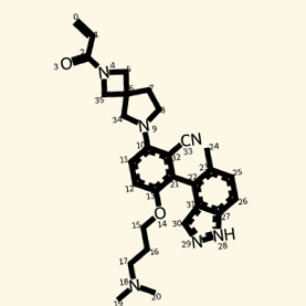 C=CC(=O)N1CC2(CCN(c3ccc(OCCCN(C)C)c(-c4c(C)ccc5[nH]ncc45)c3C#N)C2)C1